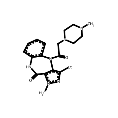 CCc1nn(C)c2c1N(C(=O)CN1CCN(C)CC1)c1ccccc1NC2=O